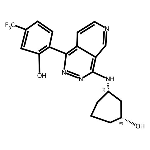 Oc1cc(C(F)(F)F)ccc1-c1nnc(N[C@H]2CCC[C@@H](O)C2)c2cnccc12